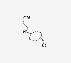 CCC=C1CCC(NCCC#N)CC1